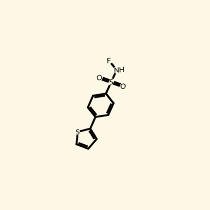 O=S(=O)(NF)c1ccc(-c2cccs2)cc1